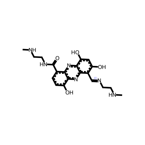 CNCC/N=C/c1c(O)cc(O)c2nc3c(C(=O)NCCNC)ccc(O)c3nc12